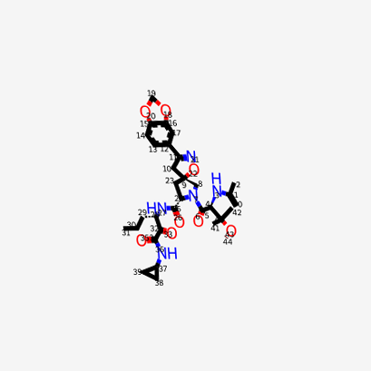 C=C(C)N[C@H](C(=O)N1C[C@]2(CC(c3ccc4c(c3)OCO4)=NO2)C[C@H]1C(=O)N[C@@H](CCC)C(=O)C(=O)NC1CC1)C(C)(C)OC